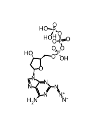 [N-]=[N+]=Nc1nc(N)c2ncn([C@H]3C[C@H](O)[C@@H](COP(=O)(O)OP(=O)(O)OP(=O)(O)O)O3)c2n1